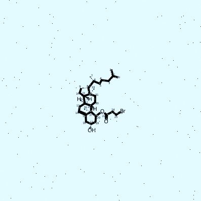 CC(C)CCC[C@@H](C)[C@H]1CC[C@H]2[C@@H]3CC=C4C[C@@H](O)CC(OC(=O)CCBr)[C@]4(C)[C@H]3CC[C@]12C